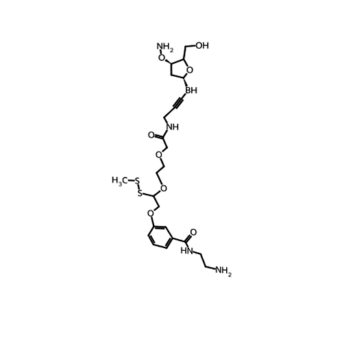 CSSC(COc1cccc(C(=O)NCCN)c1)OCCOCC(=O)NCC#CB[C@H]1C[C@@H](ON)C(CO)O1